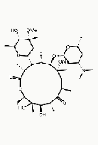 CO[C@]1(C)C[C@@H](C)C(=O)[C@H](C)[C@@H](O)[C@](C)(O)[C@@H](I)OC(=O)[C@H](C)C([C@H]2C[C@@](C)(OC)[C@@H](O)[C@H](C)O2)[C@H](C)[C@H]1O[C@H]1C[C@@H](N(C)C)C[C@@H](C)O1